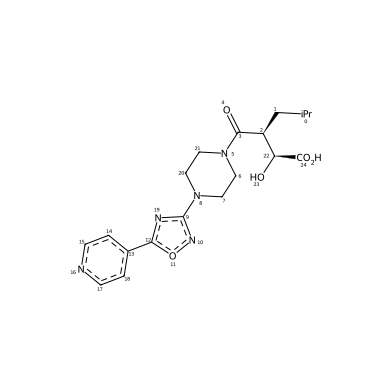 CC(C)C[C@H](C(=O)N1CCN(c2noc(-c3ccncc3)n2)CC1)[C@H](O)C(=O)O